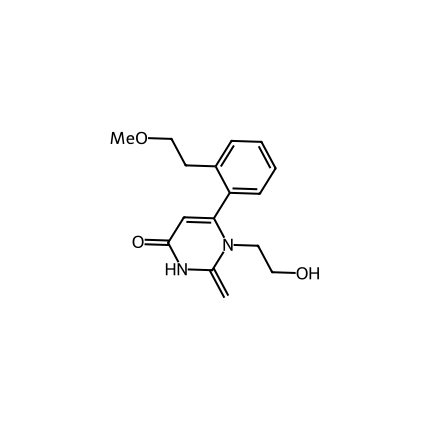 C=C1NC(=O)C=C(c2ccccc2CCOC)N1CCO